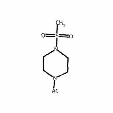 CC(=O)N1CCN(S(C)(=O)=O)CC1